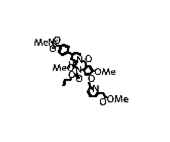 C=CCOC(=O)N1c2cc(OCc3cccc(CC(=O)OC)n3)c(OC)cc2C(=O)N2CC=C(c3ccc(S(=O)(=O)NC)cc3)C[C@H]2C1OC